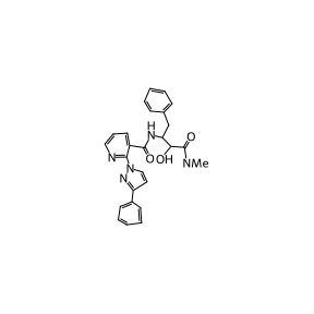 CNC(=O)C(O)C(Cc1ccccc1)NC(=O)c1cccnc1-n1ccc(-c2ccccc2)n1